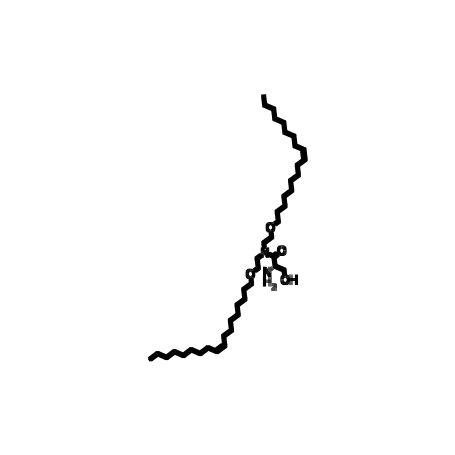 CCCCCCCC/C=C\CCCCCCCCOCCN(CCOCCCCCCCC/C=C\CCCCCCCC)C(=O)[C@@H](N)CO